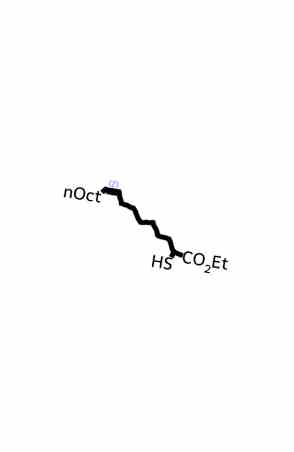 CCCCCCCC/C=C\CCCCCCC(S)C(=O)OCC